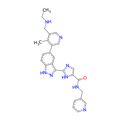 CCNCc1cncc(-c2ccc3[nH]nc(-c4ncc(C(=O)NCc5cccnc5)[nH]4)c3c2)c1C